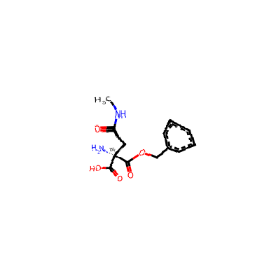 CNC(=O)C[C@](N)(C(=O)O)C(=O)OCc1ccccc1